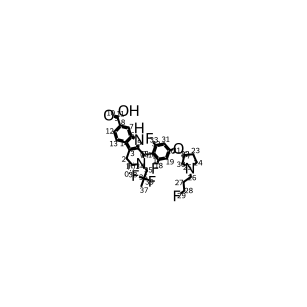 C[C@@H]1Cc2c([nH]c3cc(C(=O)O)ccc23)[C@@H](c2c(F)cc(O[C@H]3CCN(CCCF)C3)cc2F)N1CC(C)(F)F